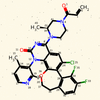 C=CC(=O)N1CCN(c2nc(=O)n(-c3c(C)ccnc3C(C)C)c3c4c(c(Cl)cc23)-c2c(ccc(F)c2F)CCO4)[C@@H](C)C1